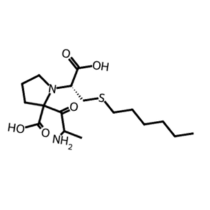 CCCCCCSC[C@@H](C(=O)O)N1CCCC1(C(=O)O)C(=O)C(C)N